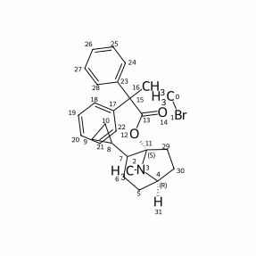 CBr.CN1[C@@H]2CCC(C3CC3)[C@@]1(OC(=O)C(C)(c1ccccc1)c1ccccc1)CC2